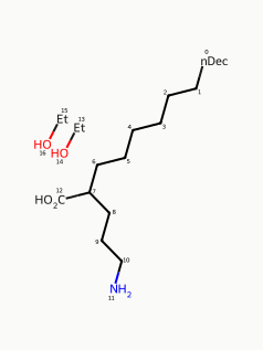 CCCCCCCCCCCCCCCCC(CCCN)C(=O)O.CCO.CCO